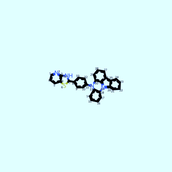 c1cnc2c(c1)SC(c1ccc(N3c4ccccc4-n4c5ccccc5c5cccc3c54)cc1)N2